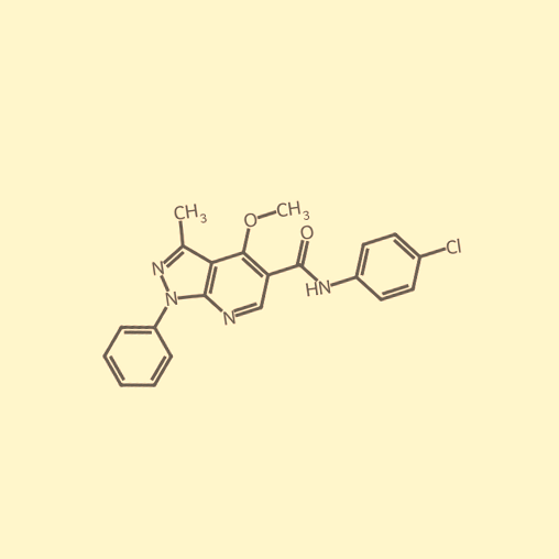 COc1c(C(=O)Nc2ccc(Cl)cc2)cnc2c1c(C)nn2-c1ccccc1